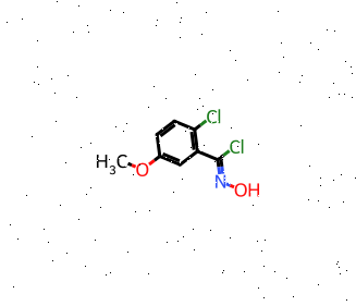 COc1ccc(Cl)c(C(Cl)=NO)c1